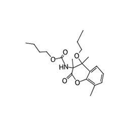 CCCCOC(=O)NC1(C)C(=O)Oc2c(C)cccc2C1(C)OCCC